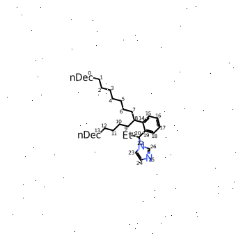 CCCCCCCCCCCCCCCCCC(CCCCCCCCCCCCCC)c1ccccc1C(CC)n1ccnc1